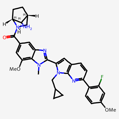 COc1ccc(-c2ccc3cc(-c4nc5cc(C(=O)N6C[C@H]7CC[C@@H]6[C@@H]7N)cc(OC)c5n4C)n(CC4CC4)c3n2)c(F)c1